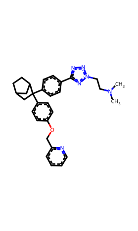 CN(C)CCn1nnc(-c2ccc(C3(c4ccc(OCc5ccccn5)cc4)CC4CCC3C4)cc2)n1